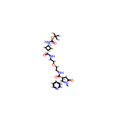 CN1C(=O)C[C@H](C(=O)NCCOCCNC(=O)[C@H]2C[C@@H](NC(=O)OC(C)(C)C)C2)[C@H]1c1cccnc1